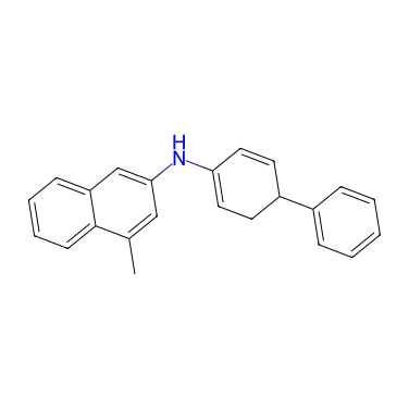 Cc1cc(NC2=CCC(c3ccccc3)C=C2)cc2ccccc12